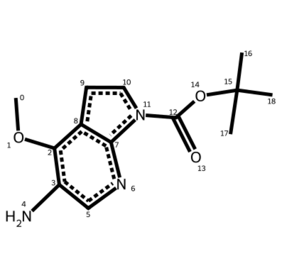 COc1c(N)cnc2c1ccn2C(=O)OC(C)(C)C